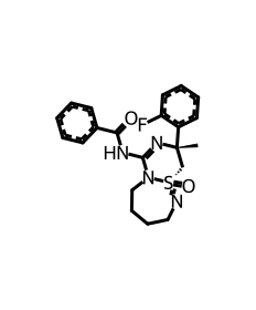 C[C@@]1(c2ccccc2F)C[S@]2(=O)=NCCCCN2C(NC(=O)c2ccccc2)=N1